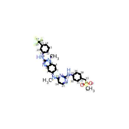 CN(c1ccc2c(c1)nc(Nc1cccc(C(F)(F)F)c1)n2C)c1ccnc(Nc2ccc(CS(C)(=O)=O)cc2)n1